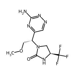 COC[C@H](c1cnnc(N)n1)N1C[C@@H](C(F)(F)F)NC1=O